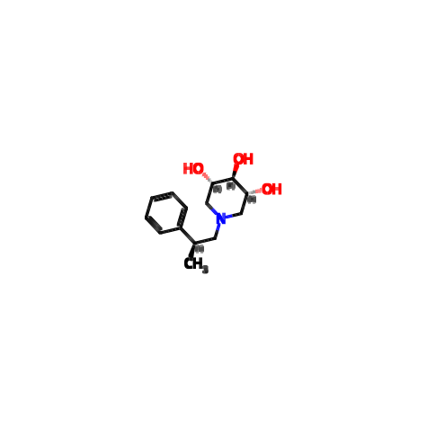 C[C@H](CN1C[C@@H](O)[C@H](O)[C@@H](O)C1)c1ccccc1